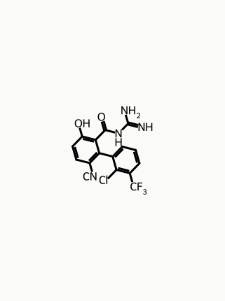 N#Cc1ccc(O)c(C(=O)NC(=N)N)c1-c1cccc(C(F)(F)F)c1Cl